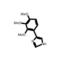 COc1ccc(-c2c[nH]cn2)c(OC)c1OC